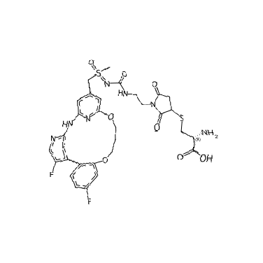 CS(=O)(Cc1cc2nc(c1)OCCCOc1cc(F)ccc1-c1cc(ncc1F)N2)=NC(=O)NCCN1C(=O)CC(SC[C@H](N)C(=O)O)C1=O